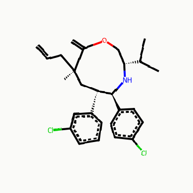 C=CC[C@]1(C)C[C@@H](c2cccc(Cl)c2)[C@H](c2ccc(Cl)cc2)N[C@@H](C(C)C)COC1=C